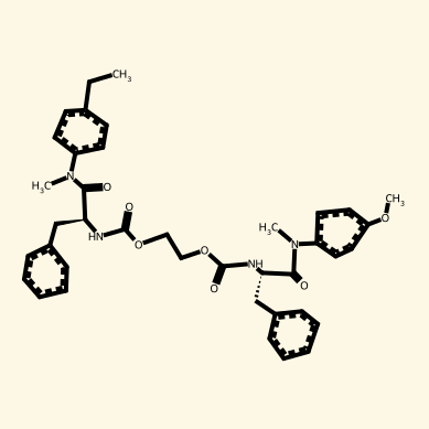 CCc1ccc(N(C)C(=O)[C@H](Cc2ccccc2)NC(=O)OCCOC(=O)N[C@@H](Cc2ccccc2)C(=O)N(C)c2ccc(OC)cc2)cc1